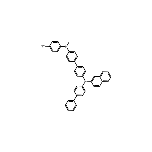 CN(c1ccc(C#N)cc1)c1ccc(-c2ccc(N(c3ccc(-c4ccccc4)cc3)c3ccc4ccccc4c3)cc2)cc1